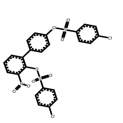 O=[N+]([O-])c1cc[c]c(-c2ccc(OS(=O)(=O)c3ccc(Cl)cc3)cc2)c1OS(=O)(=O)c1ccc(Cl)cc1